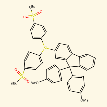 CCCCS(=O)(=O)c1ccc([S+](c2ccc(S(=O)(=O)CCCC)cc2)c2ccc3c(c2)C(c2ccc(OC)cc2)(c2ccc(OC)cc2)c2ccccc2-3)cc1